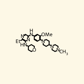 CCc1ncc(Nc2ccc(N3CCC(N4CCN(C)CC4)CC3)c(OC)c2)nc1NC1CCOCC1